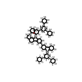 c1ccc(-c2cc(-c3ccccc3)nc(-n3c4ccccc4c4cc(-c5ccc6c(c5)c5ccc7ccn(-c8ccccc8)c7c5n6-c5cccc(-c6nc(-c7ccccc7)nc(-c7ccccc7)n6)c5)ccc43)c2)cc1